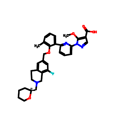 COc1c(C(=O)O)cnn1-c1cccc(-c2cccc(C)c2OCc2cc(F)c3c(c2)CCN(C[C@H]2CCCCO2)C3)n1